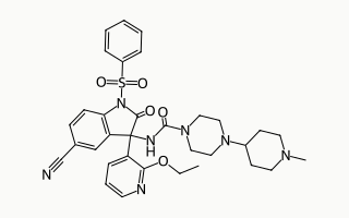 CCOc1ncccc1C1(NC(=O)N2CCN(C3CCN(C)CC3)CC2)C(=O)N(S(=O)(=O)c2ccccc2)c2ccc(C#N)cc21